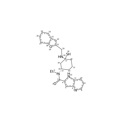 CCN(C(=O)c1cc2ncccc2[nH]1)[C@H]1CCCC(S)(NCc2cc3ccccc3o2)C1